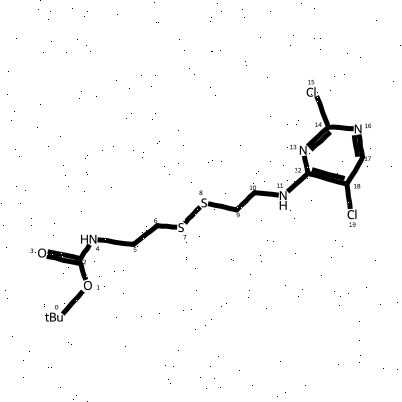 CC(C)(C)OC(=O)NCCSSCCNc1nc(Cl)ncc1Cl